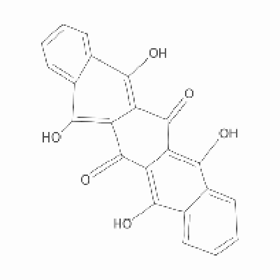 O=C1c2c(c(O)c3ccccc3c2O)C(=O)c2c1c(O)c1ccccc1c2O